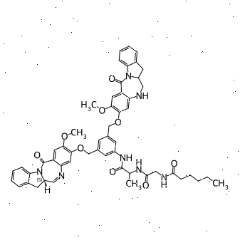 CCCCCC(=O)NCC(=O)NC(C)C(=O)Nc1cc(COc2cc3c(cc2OC)C(=O)N2c4ccccc4C[C@H]2C=N3)cc(COc2cc3c(cc2OC)C(=O)N2c4ccccc4CC2CN3)c1